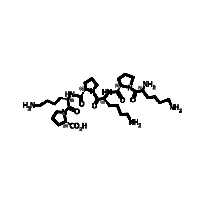 NCCCC[C@H](NC(=O)[C@@H]1CCCN1C(=O)[C@H](CCCCN)NC(=O)[C@@H]1CCCN1C(=O)[C@@H](N)CCCCN)C(=O)N1CCC[C@H]1C(=O)O